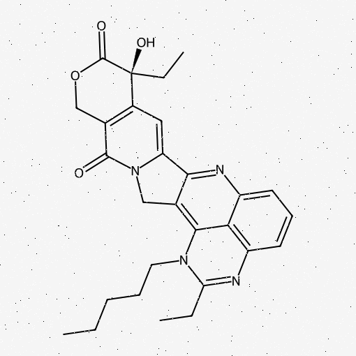 CCCCCN1C(CC)=Nc2cccc3nc4c(c1c23)Cn1c-4cc2c(c1=O)COC(=O)[C@]2(O)CC